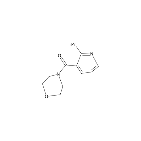 CC(C)c1ncccc1C(=O)N1CCOCC1